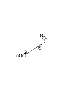 CCCCCCCCC(=O)CCCCCCCCC(=O)CCCCC1CCC2CC(=O)CC12